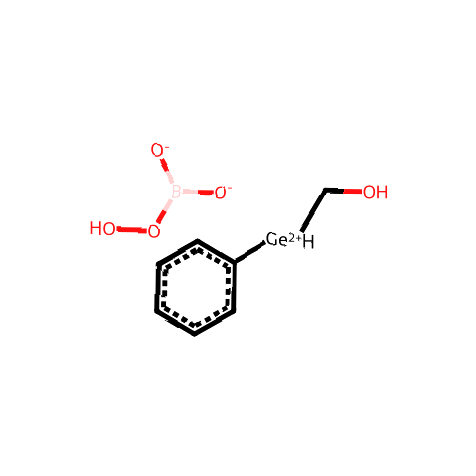 CCO.[GeH+2][c]1ccccc1.[O-]B([O-])OO